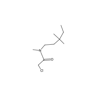 CCC(C)(C)CCN(C)C(=O)CCl